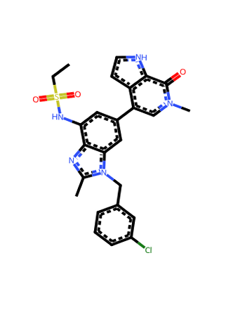 CCS(=O)(=O)Nc1cc(-c2cn(C)c(=O)c3[nH]ccc23)cc2c1nc(C)n2Cc1cccc(Cl)c1